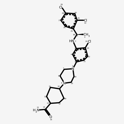 C[C@@H](Nc1cc(N2CCN(C3CCC(C(N)=O)CC3)CC2)ccc1Cl)c1ccc(Cl)cc1Cl